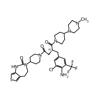 CN1CCN(C2CCN(C(=O)[C@H](CC(=O)N3CCC(N4CCc5cscc5NC4=O)CC3)Cc3cc(Cl)c(N)c(C(F)(F)F)c3)CC2)CC1